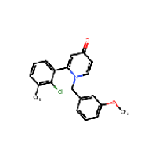 O=c1ccn(Cc2cccc(OC(F)(F)F)c2)c(-c2cccc(C(F)(F)F)c2Cl)c1